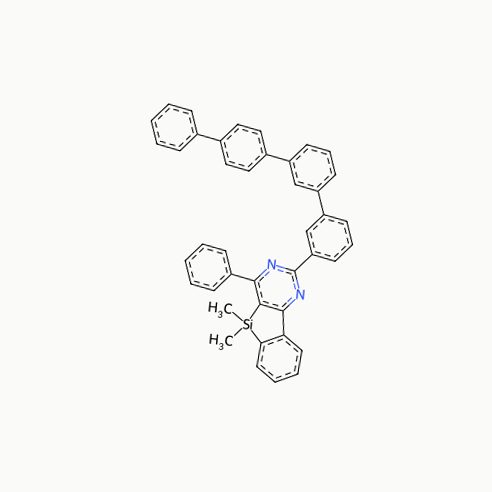 C[Si]1(C)c2ccccc2-c2nc(-c3cccc(-c4cccc(-c5ccc(-c6ccccc6)cc5)c4)c3)nc(-c3ccccc3)c21